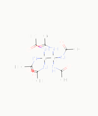 CC(=O)N[Si](NC(C)=O)(NC(C)=O)[Si](NC(C)=O)(NC(C)=O)NC(C)=O